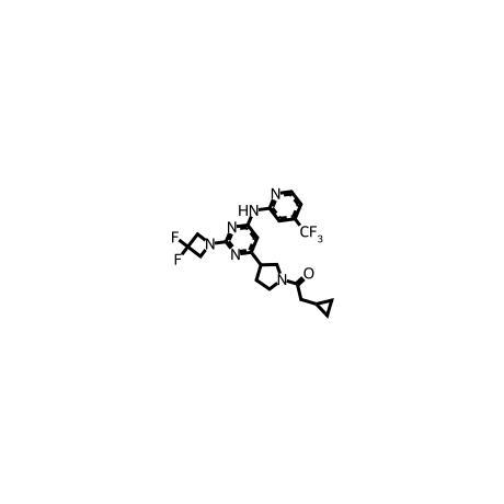 O=C(CC1CC1)N1CCC(c2cc(Nc3cc(C(F)(F)F)ccn3)nc(N3CC(F)(F)C3)n2)C1